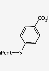 CCCCCSc1ccc(C(=O)O)cc1